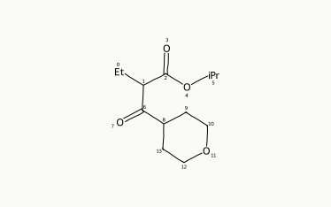 CCC(C(=O)OC(C)C)C(=O)C1CCOCC1